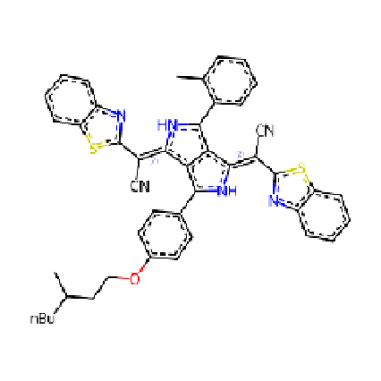 CCCCC(C)CCOc1ccc(-c2[nH]/c(=C(/C#N)c3nc4ccccc4s3)c3c(-c4ccccc4C)[nH]/c(=C(/C#N)c4nc5ccccc5s4)c23)cc1